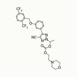 CC(OC(=O)OCCN1CCOCC1)n1nc(C#N)c(-c2cccc(OCc3cc(C(F)(F)F)ccc3C(F)(F)F)c2)n1